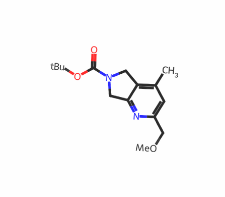 COCc1cc(C)c2c(n1)CN(C(=O)OC(C)(C)C)C2